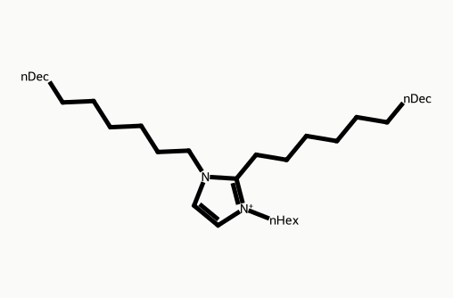 CCCCCCCCCCCCCCCCc1n(CCCCCCCCCCCCCCCC)cc[n+]1CCCCCC